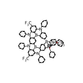 FC(F)(F)c1cc2c3c(c1)N(c1ccccc1)c1cc4c(cc1B3c1ccccc1N2c1ccccc1)B1c2cc3c(cc2N(c2ccccc2)c2cc(C(F)(F)F)cc(c21)N4c1ccccc1)N(c1ccccc1)c1cc(C(F)(F)F)cc2c1B3c1ccccc1N2c1ccccc1